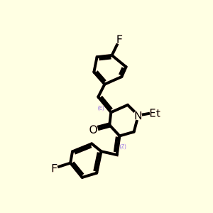 CCN1C/C(=C/c2ccc(F)cc2)C(=O)/C(=C/c2ccc(F)cc2)C1